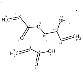 C=CC(=O)O.C=CC(=O)OCC(O)C=C